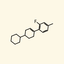 Cc1ccc(C2=CCC(C3CCCCC3)CC2)c(F)c1